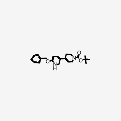 CC(C)(C)OC(=O)N1CC=C(C2=CC=C(OCc3ccccc3)NC2)CC1